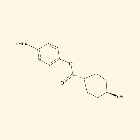 CCCCCCc1ccc(OC(=O)[C@H]2CC[C@H](CCC)CC2)cn1